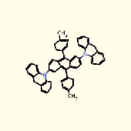 CC1=CC=C(c2c3ccc(N4c5ccccc5Cc5ccccc54)cc3c(C3=CC=C(C)CC3)c3ccc(N4C5=C(C=CCC5)Cc5ccccc54)cc23)CC1